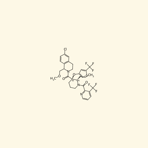 CCC[C@H]1N(C(=O)c2ncccc2C(F)(F)F)CCC[C@]1(Oc1csc(C(F)(F)F)c1)C(=O)N1CCc2cc(Cl)ccc2C1COC